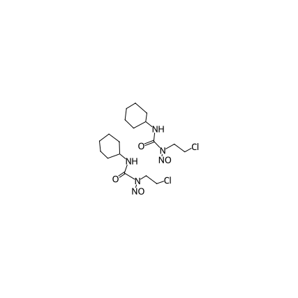 O=NN(CCCl)C(=O)NC1CCCCC1.O=NN(CCCl)C(=O)NC1CCCCC1